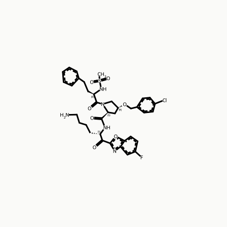 CS(=O)(=O)N[C@H](CCc1ccccc1)C(=O)N1C[C@H](OCc2ccc(Cl)cc2)C[C@H]1C(=O)N[C@@H](CCCCN)C(=O)c1nc2cc(F)ccc2o1